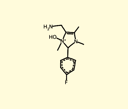 CC1=C(CN)[N+](C)(O)C(c2ccc(F)cc2)N1C